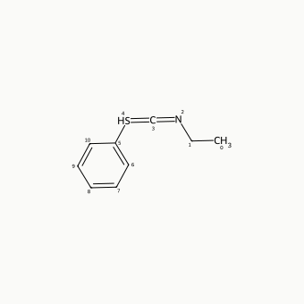 CCN=C=[SH]c1ccccc1